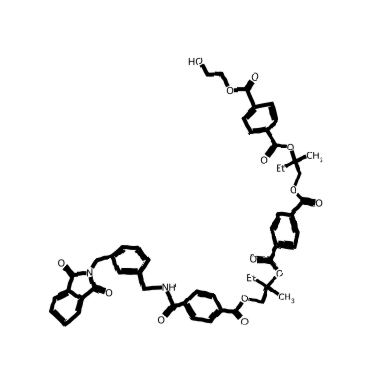 CCC(C)(COC(=O)c1ccc(C(=O)OC(C)(CC)COC(=O)c2ccc(C(=O)NCc3cccc(CN4C(=O)c5ccccc5C4=O)c3)cc2)cc1)OC(=O)c1ccc(C(=O)OCCO)cc1